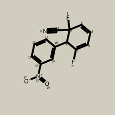 N#CC1(F)C=CC=C(F)C1c1cccc([N+](=O)[O-])c1